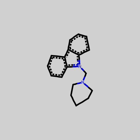 c1ccc2c(c1)c1ccccc1n2CN1CCCCC1